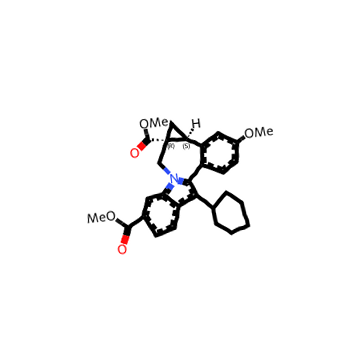 COC(=O)c1ccc2c(C3CCCCC3)c3n(c2c1)C[C@@]1(C(=O)OC)C[C@H]1c1cc(OC)ccc1-3